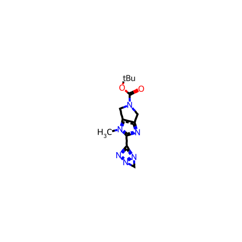 Cn1c(-c2nn3n2C3)nc2c1CN(C(=O)OC(C)(C)C)C2